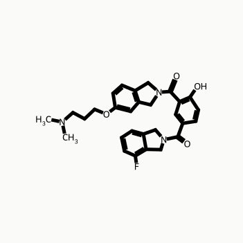 CN(C)CCCOc1ccc2c(c1)CN(C(=O)c1cc(C(=O)N3Cc4cccc(F)c4C3)ccc1O)C2